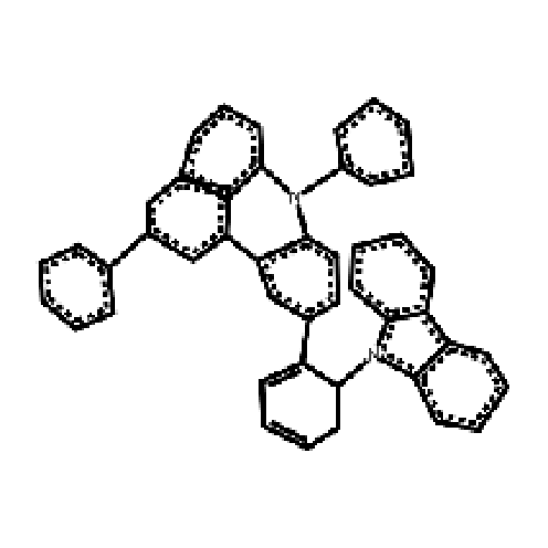 C1=CCC(n2c3ccccc3c3ccccc32)C(c2ccc(N(c3ccccc3)c3ccccc3)c(-c3cccc(-c4ccccc4)c3)c2)=C1